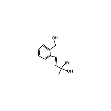 CC(C)C(C)(O)C=Cc1ccccc1CO